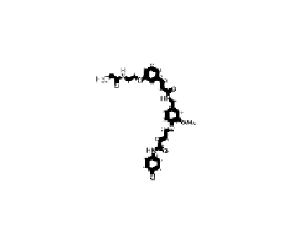 C=CC(=O)NCCOc1cccc(/C=C/C(=O)NCc2ccc(OC/C=C/C(=O)Nc3ccc(Cl)cc3)c(OC)c2)c1